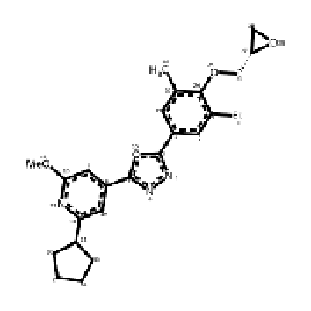 CCc1cc(-c2nnc(-c3cc(OC)nc(C4CCCC4)c3)o2)cc(C)c1OC[C@@H]1CO1